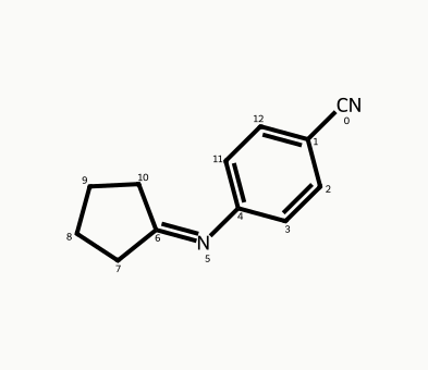 N#Cc1ccc(N=C2CCCC2)cc1